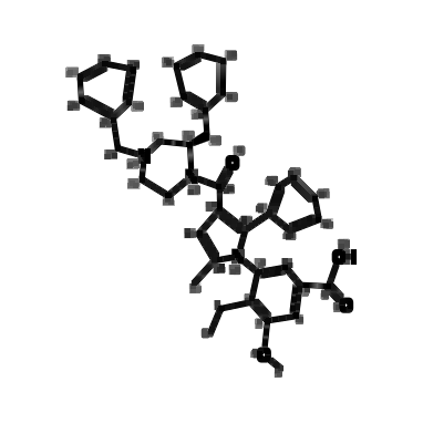 CCc1c(OC)cc(C(=O)O)cc1-n1c(C)cc(C(=O)N2CCN(Cc3ccccc3)C[C@H]2Cc2ccccc2)c1-c1ccccc1